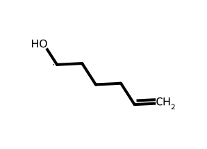 C=CCCC[CH]O